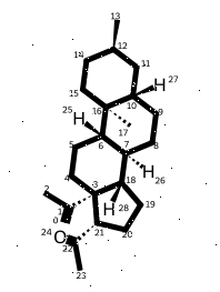 C=C(C)[C@]12CC[C@H]3[C@@H](CC[C@H]4C[C@H](C)CC[C@@]43C)[C@@H]1CC[C@@H]2C(C)=O